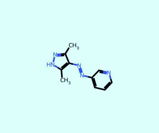 Cc1n[nH]c(C)c1/N=N/c1cccnc1